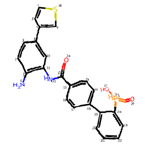 Nc1ccc(-c2ccsc2)cc1NC(=O)c1ccc(-c2ccccc2[PH](=O)O)cc1